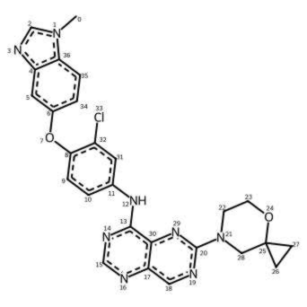 Cn1cnc2cc(Oc3ccc(Nc4ncnc5cnc(N6CCOC7(CC7)C6)nc45)cc3Cl)ccc21